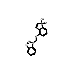 OS1(O)C=Cc2c(OCn3nnc4ccccc43)cccc21